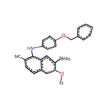 CCOc1cc2ccc(C#N)c(Nc3ccc(OCc4ccccc4)cc3)c2cc1NC(C)=O